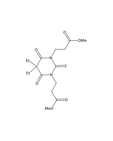 CCC1(CC)C(=O)N(CCC(=O)OC)C(=S)N(CCC(=O)OC)C1=O